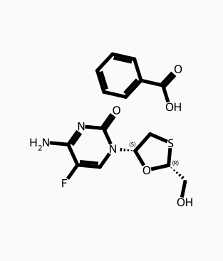 Nc1nc(=O)n([C@@H]2CS[C@H](CO)O2)cc1F.O=C(O)c1ccccc1